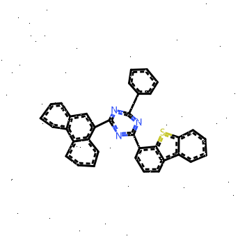 c1ccc(-c2nc(-c3cc4ccccc4c4ccccc34)nc(-c3cccc4c3sc3ccccc34)n2)cc1